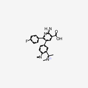 C=Nc1ccc(-c2cc(C(=O)O)c(N)nc2-c2ccc(F)cc2)cc1/C(C)=N\C